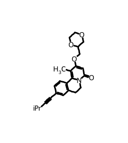 Cc1c(OCC2COCCO2)cc(=O)n2c1-c1ccc(C#CC(C)C)cc1CC2